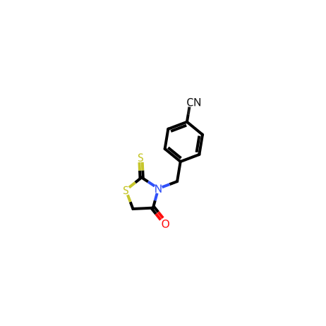 N#Cc1ccc(CN2C(=O)CSC2=S)cc1